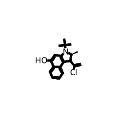 C=C(Cl)C1c2c(cc(O)c3ccccc23)N(C(C)(C)C)[C@H]1C